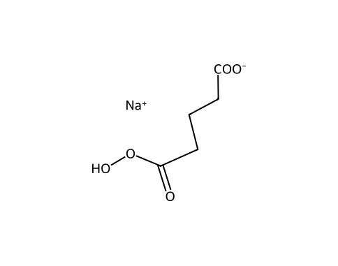 O=C([O-])CCCC(=O)OO.[Na+]